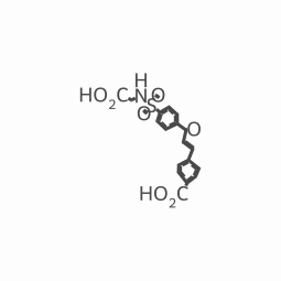 O=C(O)CNS(=O)(=O)c1ccc(C(=O)/C=C/c2ccc(C(=O)O)cc2)cc1